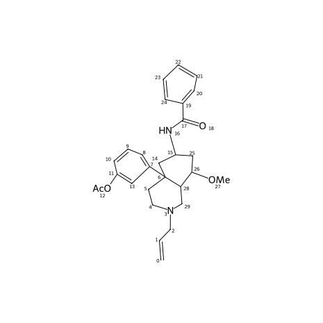 C=CCN1CCC2(c3cccc(OC(C)=O)c3)CC(NC(=O)c3ccccc3)CC(OC)C2C1